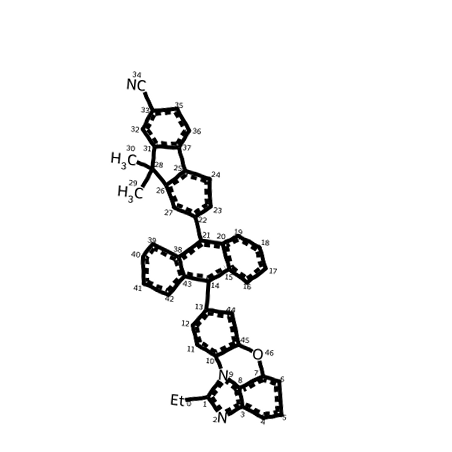 CCc1nc2cccc3c2n1-c1ccc(-c2c4ccccc4c(-c4ccc5c(c4)C(C)(C)c4cc(C#N)ccc4-5)c4ccccc24)cc1O3